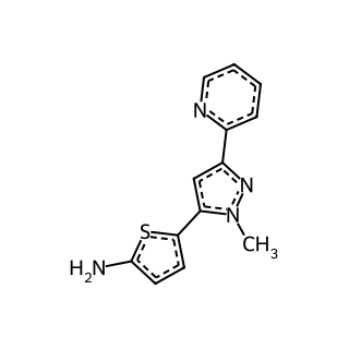 Cn1nc(-c2ccccn2)cc1-c1ccc(N)s1